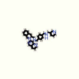 c1cncc(CNCc2ccc(CN(CC3Cc4ccccc4CN3)C3CCCc4cccnc43)cc2)c1